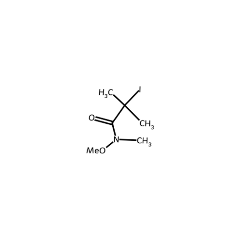 CON(C)C(=O)C(C)(C)I